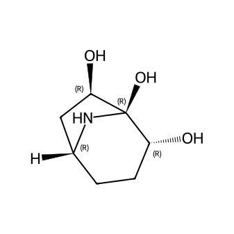 O[C@@H]1CC[C@@H]2C[C@@H](O)[C@@]1(O)N2